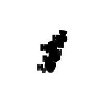 CS(=O)(=O)C(N)c1cc(F)cc(-c2ccnc3[nH]c(-c4n[nH]c5ccc(-c6cncc(NC(=O)C7CC7)c6)nc45)nc23)c1